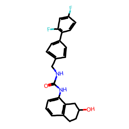 O=C(NCc1ccc(-c2ccc(F)cc2F)cc1)Nc1cccc2c1CC(O)CC2